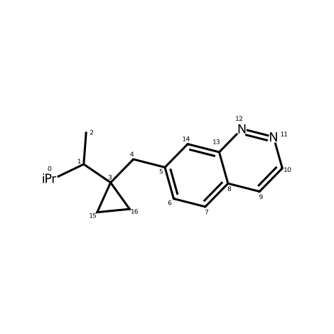 CC(C)C(C)C1(Cc2ccc3ccnnc3c2)CC1